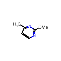 COc1nccc(C)n1